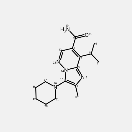 Cc1nc2c(C(C)C)c(C(N)=O)cnn2c1N1CCCCC1